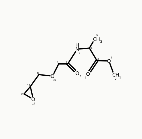 COC(=O)C(C)NC(=O)COCC1CO1